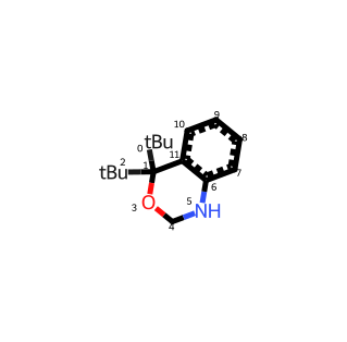 CC(C)(C)C1(C(C)(C)C)OCNc2ccccc21